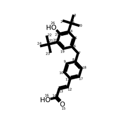 CC(C)(C)c1cc(Cc2ccc(C=CC(=O)O)cc2)cc(C(C)(C)C)c1O